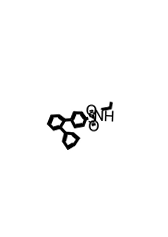 CCCNS(=O)(=O)c1ccc(-c2ccccc2-c2ccccc2)cc1